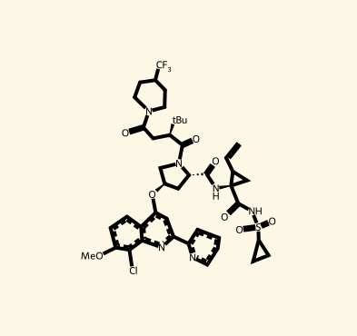 C=CC1C[C@]1(NC(=O)[C@@H]1C[C@@H](Oc2cc(-c3ccccn3)nc3c(Cl)c(OC)ccc23)CN1C(=O)[C@@H](CC(=O)N1CCC(C(F)(F)F)CC1)C(C)(C)C)C(=O)NS(=O)(=O)C1CC1